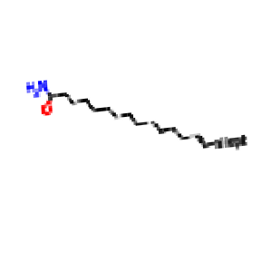 CCCCCCC/C=C/CCCCCCCCCCCCC(N)=O